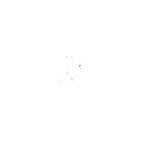 O=C(O)C1CNCC1c1cccc(Cl)c1Cl